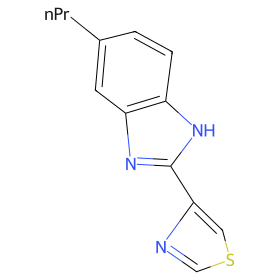 CCCc1ccc2[nH]c(-c3cscn3)nc2c1